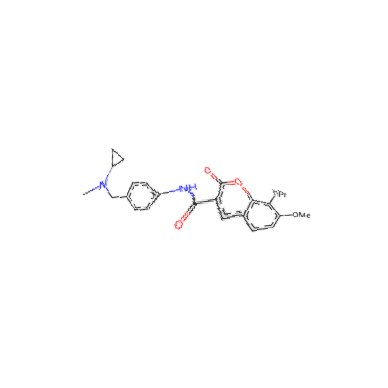 CCCc1c(OC)ccc2cc(C(=O)Nc3ccc(CN(C)C4CC4)cc3)c(=O)oc12